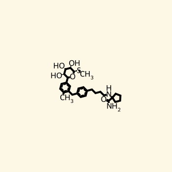 CS[C@H]1OC(c2ccc(C)c(Cc3ccc(CCCCNC4(C(N)=O)CCCC4)cc3)c2)[C@H](O)[C@@H](O)[C@@H]1O